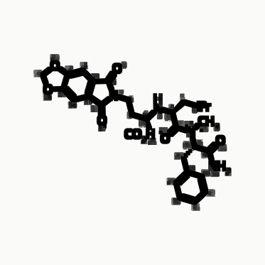 CC(C)C[C@H](N[C@H](CCN1C(=O)c2cc3c(cc2C1=O)OCO3)C(=O)O)C(=O)N(C)[C@@H](Cc1ccccc1)C(N)=O